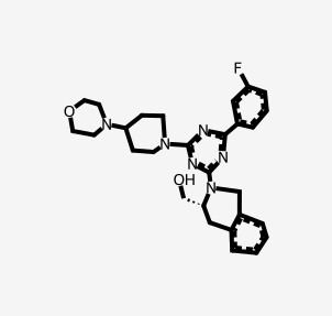 OC[C@H]1Cc2ccccc2CN1c1nc(-c2cccc(F)c2)nc(N2CCC(N3CCOCC3)CC2)n1